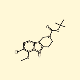 CSc1c(Cl)ccc2c3c([nH]c12)CCN(C(=O)OC(C)(C)C)C3